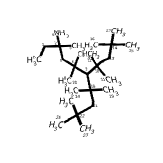 CCC(C)(N)CC(C)(C)C(C(C)(C)CC(C)(C)C)C(C)(C)CC(C)(C)C